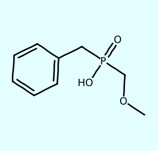 COCP(=O)(O)Cc1ccccc1